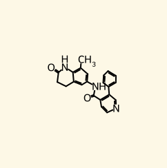 Cc1cc(NC(=O)c2ccncc2-c2ccccc2)cc2c1NC(=O)CC2